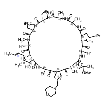 C/C=C/C[C@@H](C)[C@@H](O)[C@H]1C(=O)N[C@H](CC)C(=O)N(C)[C@H](SCCN2CCOCC2)C(=O)N(C)[C@@H](CC(C)(C)OC)C(=O)N[C@H](C(C)C)C(=O)N(C)[C@H](CCC(C)C)C(=O)N[C@H](C)C(=O)N[C@@H](C)C(=O)N(C)[C@@H](CC(C)C)C(=O)N(C)[C@H](CC(C)C)C(=O)N(C)[C@H](C(C)C)C(=O)N1C